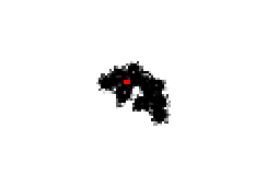 Fc1ccc(N(c2cc3c4cc(N(c5ccc(F)cc5)c5cccc6c5oc5ccccc56)c5ccccc5c4oc3c3ccccc23)c2cccc3c2oc2ccccc23)cc1